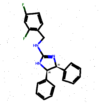 Fc1ccc(CNC2=N[C@@H](c3ccccc3)[C@@H](c3ccccc3)N2)c(F)c1